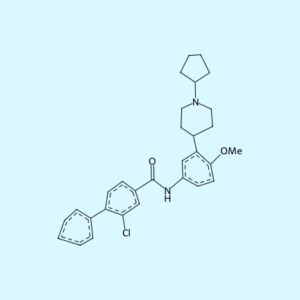 COc1ccc(NC(=O)c2ccc(-c3ccccc3)c(Cl)c2)cc1C1CCN(C2CCCC2)CC1